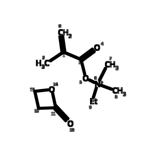 C=C(C)C(=O)O[N+](C)(C)CC.O=C1CCO1